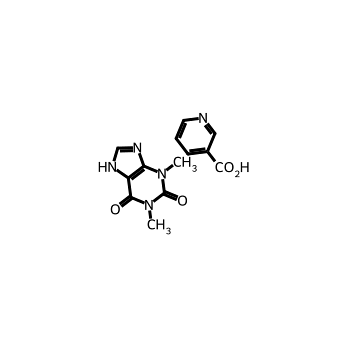 Cn1c(=O)c2[nH]cnc2n(C)c1=O.O=C(O)c1cccnc1